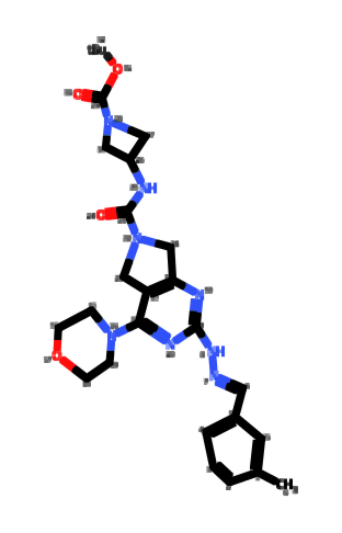 Cc1cccc(/C=N/Nc2nc3c(c(N4CCOCC4)n2)CN(C(=O)NC2CN(C(=O)OC(C)(C)C)C2)C3)c1